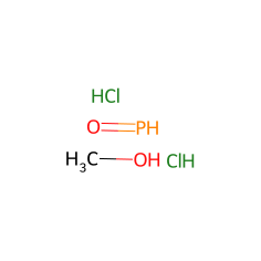 CO.Cl.Cl.O=P